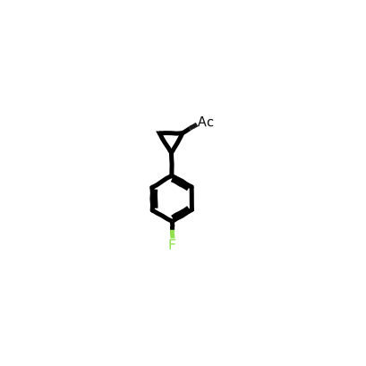 CC(=O)C1CC1c1ccc(F)cc1